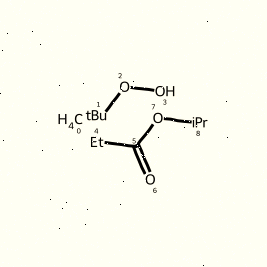 C.CC(C)(C)OO.CCC(=O)OC(C)C